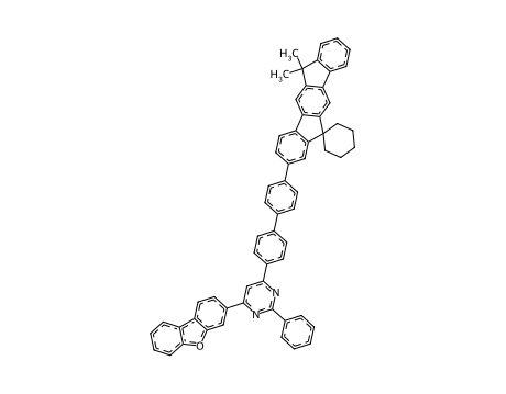 CC1(C)c2ccccc2-c2cc3c(cc21)-c1ccc(-c2ccc(-c4ccc(-c5cc(-c6ccc7c(c6)oc6ccccc67)nc(-c6ccccc6)n5)cc4)cc2)cc1C31CCCCC1